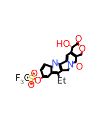 CCc1c2c(nc3ccc(OS(=O)(=O)C(F)(F)F)cc13)-c1cc3c(c(=O)n1C2)COC(=O)[C@H]3O